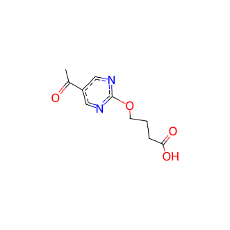 CC(=O)c1cnc(OCCCC(=O)O)nc1